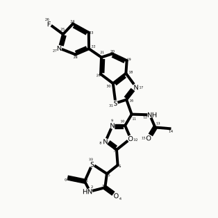 C=C1NC(=O)C(Cc2nnc(C(NC(C)=O)c3nc4ccc(-c5ccc(F)nc5)cc4s3)o2)S1